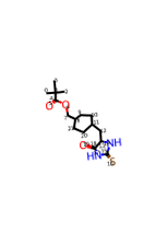 CC(C)(C)C(=O)OCC1CCC(CC2NC(=S)NC2=O)CC1